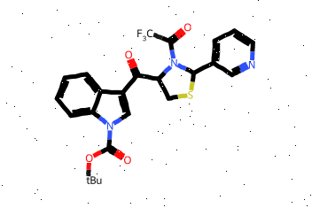 CC(C)(C)OC(=O)n1cc(C(=O)C2CSC(c3cccnc3)N2C(=O)C(F)(F)F)c2ccccc21